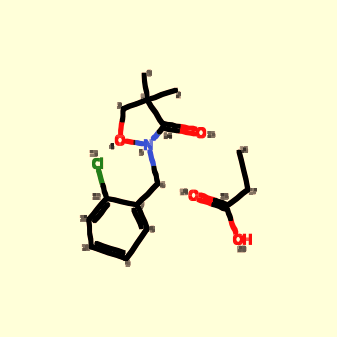 CC1(C)CON(Cc2ccccc2Cl)C1=O.CCC(=O)O